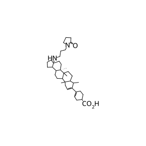 CC1C(C2=CCC(C(=O)O)CC2)=CCC2(C)C1CCC1(C)C2CCC2C3CCC[C@]3(NCCCN3CCCC3=O)CC[C@]21C